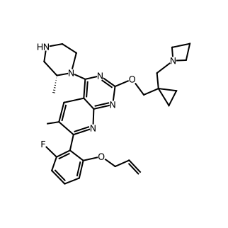 C=CCOc1cccc(F)c1-c1nc2nc(OCC3(CN4CCC4)CC3)nc(N3CCNC[C@H]3C)c2cc1C